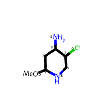 COC1CC(N)C(Cl)CN1